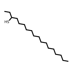 CCCCCCCCCCCCCCCC(S)CC